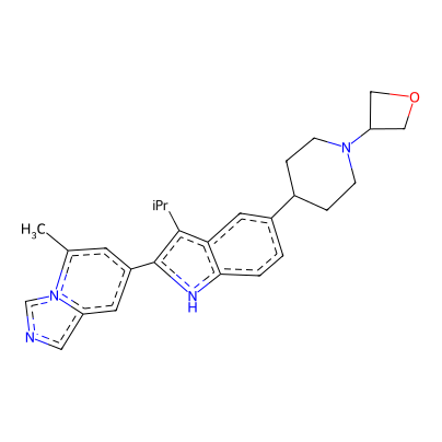 Cc1cc(-c2[nH]c3ccc(C4CCN(C5COC5)CC4)cc3c2C(C)C)cc2cncn12